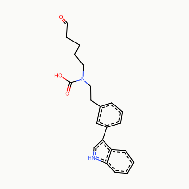 O=CCCCCN(CCc1cccc(-c2c[nH]c3ccccc23)c1)C(=O)O